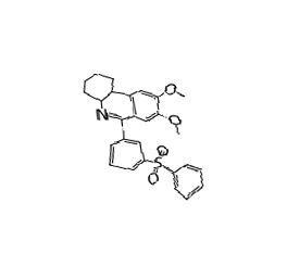 COc1cc2c(cc1OC)C1CCCCC1N=C2c1cccc(S(=O)(=O)c2ccccc2)c1